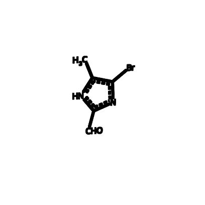 Cc1[nH]c(C=O)nc1Br